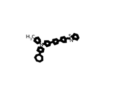 Cc1ccc(N(c2ccc(-c3ccc(-c4ccc(-c5nc6ccccc6s5)cc4)cc3)cc2)c2ccc(C3CCCCCC3)cc2)cc1